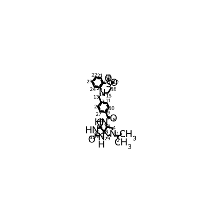 CC(C)N1C[C@@H](NC(=O)c2ccc(CN3CCS(=O)(=O)c4ccccc43)cc2)[C@]2(C1)NC(=O)NC2=O